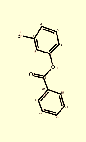 O=C(Oc1cccc(Br)c1)c1ccccc1